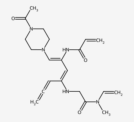 C=C=C/C(=C\C(=C\N1CCN(C(C)=O)CC1)NC(=O)C=C)NCC(=O)N(C)C=C